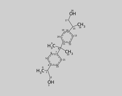 CC(CO)c1ccc(C(C)(C)c2ccc(C(C)CO)cc2)cc1